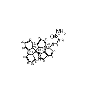 CC(C=Cc1ccc2cnn(C(c3ccccc3)(c3ccccc3)c3ccccc3)c2c1)[S+](N)[O-]